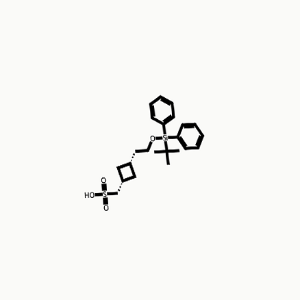 CC(C)(C)[Si](OCC[C@H]1C[C@@H](CS(=O)(=O)O)C1)(c1ccccc1)c1ccccc1